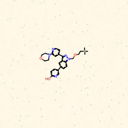 C[Si](C)(C)CCOCn1nc(-c2ccnc(N3CCOCC3)c2)c2cc(-c3ccc(O)nc3)ccc21